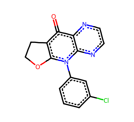 O=c1c2c(n(-c3cccc(Cl)c3)c3nccnc13)OCC2